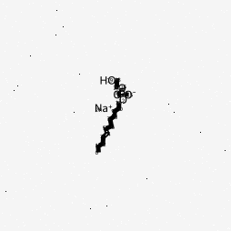 CCCCCCCCCCCCOP(=O)([O-])OCCO.[Na+]